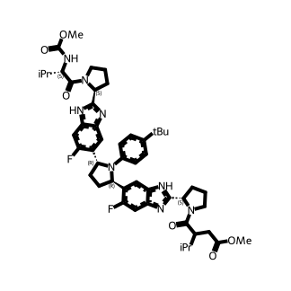 COC(=O)CC(C(=O)N1CCC[C@H]1c1nc2cc(F)c([C@H]3CC[C@H](c4cc5nc([C@@H]6CCCN6C(=O)[C@@H](NC(=O)OC)C(C)C)[nH]c5cc4F)N3c3ccc(C(C)(C)C)cc3)cc2[nH]1)C(C)C